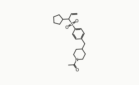 C=CC(C1CCCC1)S(=O)(=O)c1ccc(CC2CCN(C(C)=O)CC2)cc1